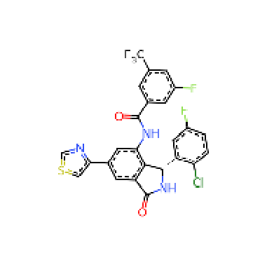 O=C(Nc1cc(-c2cscn2)cc2c1[C@H](c1cc(F)ccc1Cl)NC2=O)c1cc(F)cc(C(F)(F)F)c1